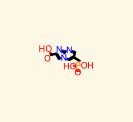 O=C(O)c1cn2cc(CP(=O)(O)O)cnc2n1